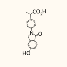 CC(C(=O)O)c1ccc(N2Cc3cc(O)ccc3C2=O)cc1